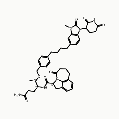 C[C@@H](OCc1ccc(CCCCc2ccc3c(c2)n(C)c(=O)n3C2CCC(=O)NC2=O)cc1)[C@H](CCC(N)=O)NC(=O)[C@@H]1Cc2cccc3c2N1C(=O)CCC3